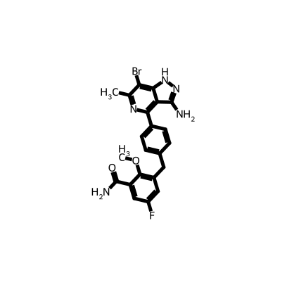 COc1c(Cc2ccc(-c3nc(C)c(Br)c4[nH]nc(N)c34)cc2)cc(F)cc1C(N)=O